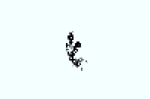 CN1CC(Oc2ccc(NC(=O)C(NCCc3ccc(Cl)cc3)c3ccccc3)nc2)CN(C)C1=O